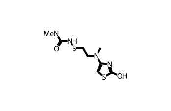 CNC(=O)NSCCN(C)c1csc(O)n1